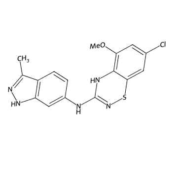 COc1cc(Cl)cc2c1NC(Nc1ccc3c(C)n[nH]c3c1)=NS2